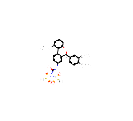 CCS(=O)(=O)N(C(=O)Nc1ccc2c(c1)C(c1ccc(OC)c(OC)c1)Oc1cccc(OC)c1-2)S(=O)(=O)CC